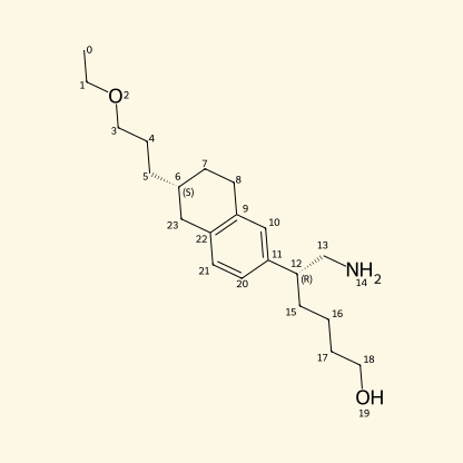 CCOCCC[C@@H]1CCc2cc([C@H](CN)CCCCO)ccc2C1